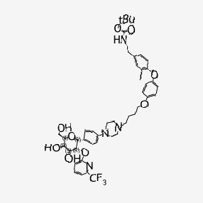 CC(C)(C)OC(=O)NCCc1ccc(Oc2ccc(OCCCCN3CCN(c4ccc([C@H]5O[C@H](CO)[C@H](O)[C@H](O)[C@H]5Oc5cccc(C(F)(F)F)n5)cc4)CC3)cc2)c(I)c1